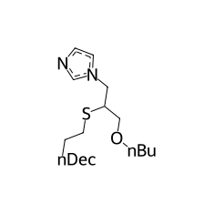 CCCCCCCCCCCCSC(COCCCC)Cn1ccnc1